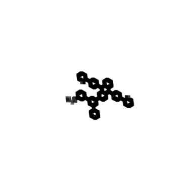 CC1C=CC=C(c2cc(-c3ccccc3)cc(-c3ccc4c(-c5ccc(-c6ccccn6)cc5)c5ccccc5c(-c5ccc(-c6ccccn6)cc5)c4c3)c2)C1